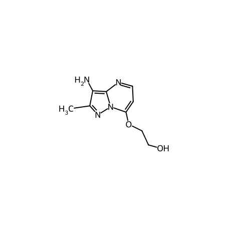 Cc1nn2c(OCCO)ccnc2c1N